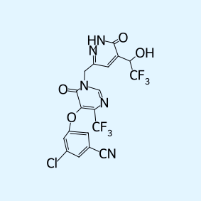 N#Cc1cc(Cl)cc(Oc2c(C(F)(F)F)ncn(Cc3cc(C(O)C(F)(F)F)c(=O)[nH]n3)c2=O)c1